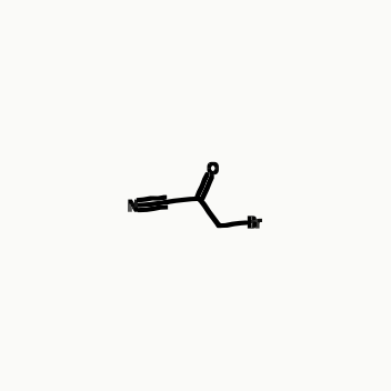 N#CC(=O)CBr